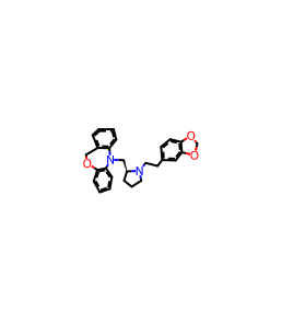 c1ccc2c(c1)COc1ccccc1N2C[C@@H]1CCCN1CCc1ccc2c(c1)OCO2